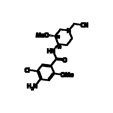 COc1cc(N)c(Cl)cc1C(=O)N[C@H]1CCN(CC#N)C[C@H]1OC